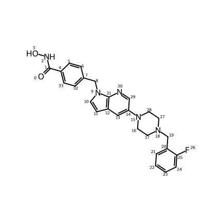 O=C(NO)c1ccc(Cn2ccc3cc(N4CCN(Cc5ccccc5F)CC4)cnc32)cc1